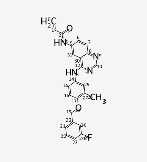 C=CC(=O)Nc1ccc2ncnc(Nc3ccc(OCc4cccc(F)c4)c(C)c3)c2c1